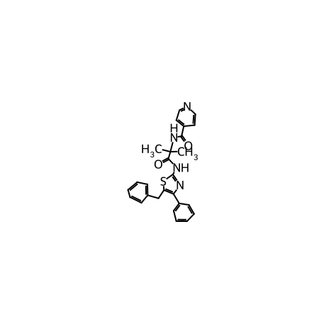 CC(C)(NC(=O)c1ccncc1)C(=O)Nc1nc(-c2ccccc2)c(Cc2ccccc2)s1